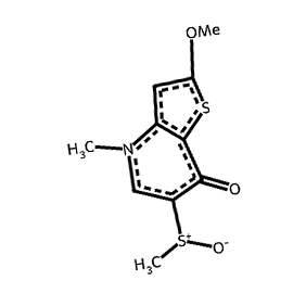 COc1cc2c(s1)c(=O)c([S+](C)[O-])cn2C